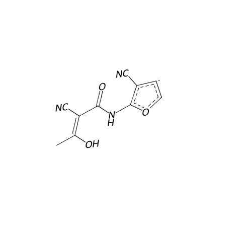 CC(O)=C(C#N)C(=O)Nc1oc[c]c1C#N